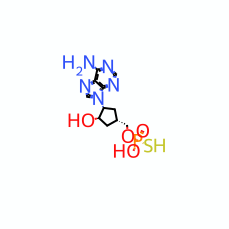 Nc1ncnc2c1ncn2[C@@H]1C[C@H](COP(=O)(O)S)C[C@H]1O